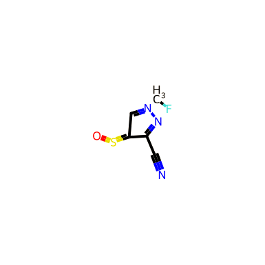 CF.N#CC1=NN=CC1=S=O